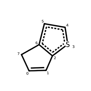 C1=Cc2sccc2C1